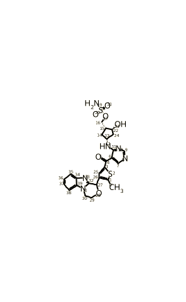 Cc1sc(C(=O)c2cncnc2N[C@@H]2C[C@H](COS(N)(=O)=O)[C@@H](O)C2)cc1C1OCCn2c1nc1ccccc12